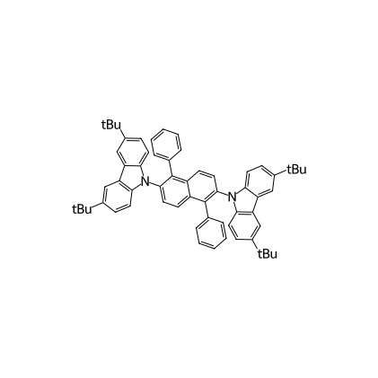 CC(C)(C)c1ccc2c(c1)c1cc(C(C)(C)C)ccc1n2-c1ccc2c(-c3ccccc3)c(-n3c4ccc(C(C)(C)C)cc4c4cc(C(C)(C)C)ccc43)ccc2c1-c1ccccc1